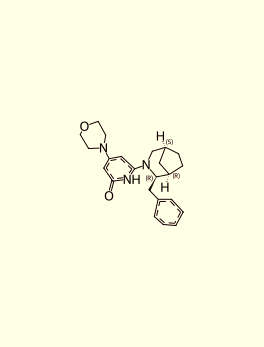 O=c1cc(N2CCOCC2)cc(N2C[C@H]3CC[C@H](C3)[C@H]2Cc2ccccc2)[nH]1